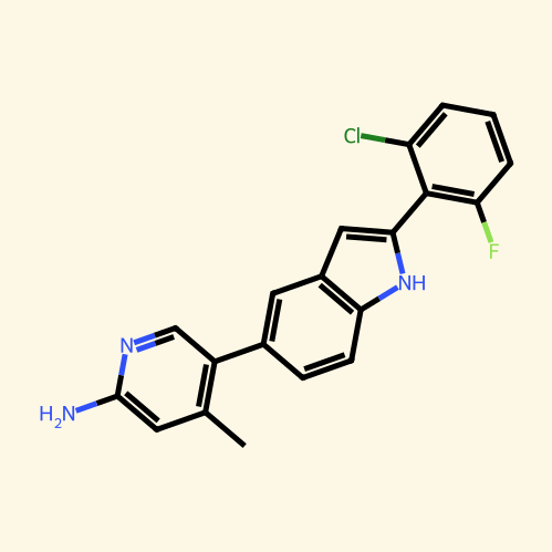 Cc1cc(N)ncc1-c1ccc2[nH]c(-c3c(F)cccc3Cl)cc2c1